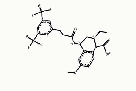 CC[C@@H]1C[C@H](NC(=O)CCc2cc(C(F)(F)F)cc(C(F)(F)F)c2)c2nc(OC)ccc2N1C(=O)O